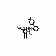 [C-]#[N+]c1c[nH]c(C(=O)Nc2ccccc2C2=CCC(C)(C)CC2)n1